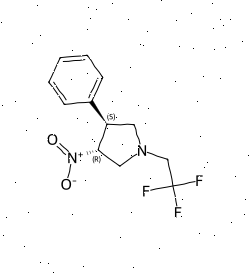 O=[N+]([O-])[C@H]1CN(CC(F)(F)F)C[C@@H]1c1ccccc1